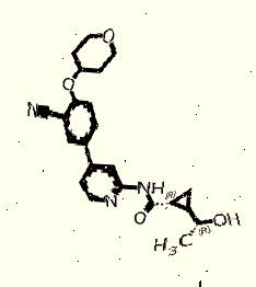 C[C@@H](O)C1C[C@H]1C(=O)Nc1cc(-c2ccc(OC3CCOCC3)c(C#N)c2)ccn1